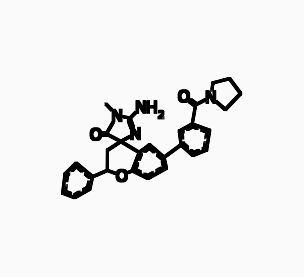 CN1C(=O)C2(CC(c3ccccc3)Oc3ccc(-c4cccc(C(=O)N5CCCC5)c4)cc32)N=C1N